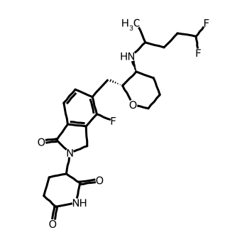 CC(CCC(F)F)N[C@H]1CCCO[C@@H]1Cc1ccc2c(c1F)CN(C1CCC(=O)NC1=O)C2=O